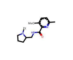 CCN1CCCC1CNC(=O)c1nc(C)ccc1OC